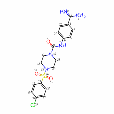 N=C(N)c1ccc(NC(=O)N2CCN(S(=O)(=O)c3ccc(Cl)cc3)CC2)cc1